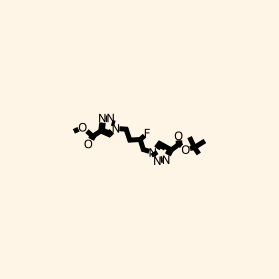 COC(=O)c1cn(CCC(F)Cn2cc(C(=O)OC(C)(C)C)nn2)nn1